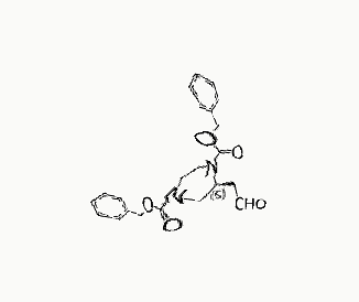 O=CC[C@H]1CN(C(=O)OCc2ccccc2)CCN1C(=O)OCc1ccccc1